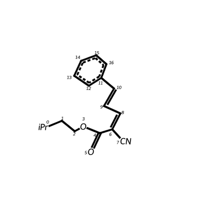 CC(C)CCOC(=O)C(C#N)=CC=Cc1ccccc1